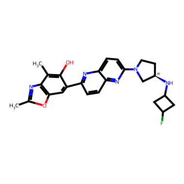 Cc1nc2c(C)c(O)c(-c3ccc4nc(N5CC[C@@H](NC6CC(F)C6)C5)ccc4n3)cc2o1